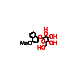 COc1ccc(OC2O[C@H](CO)[C@H](O)[C@H](O)[C@H]2O)c2ccccc12